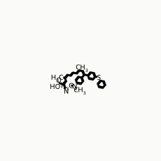 CC(=CC=CC=C(C)C=C(c1ccc(Sc2ccccc2)cc1)c1ccc(N(C)C)cc1)C=C(C#N)C(=O)O